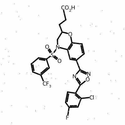 O=C(O)CCC1CN(S(=O)(=O)c2cccc(C(F)(F)F)c2)c2cc(-c3noc(-c4ccc(F)cc4Cl)n3)ccc2O1